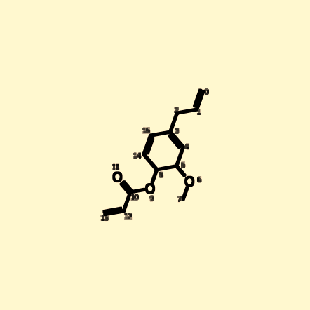 C=CCC1=CC(OC)C(OC(=O)C=C)C=C1